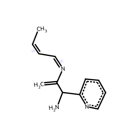 C=C(/N=C\C=C/C)C(N)c1ccccn1